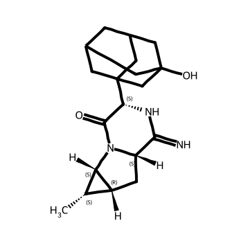 C[C@H]1[C@H]2C[C@H]3C(=N)N[C@@H](C45CC6CC(CC(O)(C6)C4)C5)C(=O)N3[C@@H]12